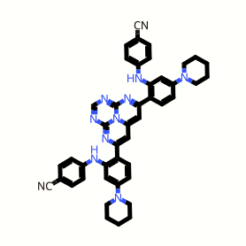 N#Cc1ccc(Nc2cc(N3CCCCC3)ccc2C2=CC3=CC(c4ccc(N5CCCCC5)cc4Nc4ccc(C#N)cc4)=NC4=NC=NC(=N2)N34)cc1